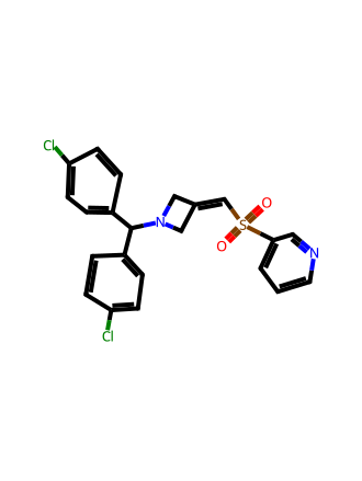 O=S(=O)(C=C1CN(C(c2ccc(Cl)cc2)c2ccc(Cl)cc2)C1)c1cccnc1